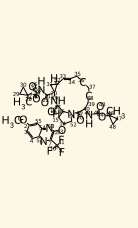 COc1ccc2nc(C(F)(F)F)c(O[C@@H]3C[C@H]4C(=O)N[C@]5(C(=O)NS(=O)(=O)C6(C)CC6)C[C@H]5/C=C\CCCCC[C@H](NC(=O)OC5(C)CC5)C(=O)N4C3)nc2c1